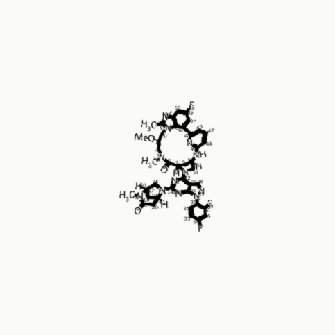 CO[C@H]1CN(C)C(=O)[C@@H]2C[C@@H](CN2c2nc(N3C[C@@H]4C[C@H]3CC(=O)N4C)nc3c2cnn3-c2ccc(F)cc2F)Nc2cccc(n2)-c2cc(F)cc3nc(C)n(c23)C1